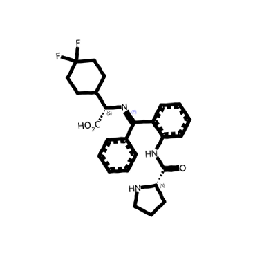 O=C(Nc1ccccc1/C(=N/[C@H](C(=O)O)C1CCC(F)(F)CC1)c1ccccc1)[C@@H]1CCCN1